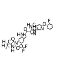 Cc1cc(Oc2ccccc2F)ncc1-n1ncc(C(=O)c2cc3cc(OC(F)F)c(N4C(=O)NC(C)(C)C4=O)cc3[nH]2)c1N